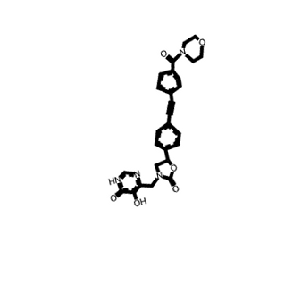 O=C1OC(c2ccc(C#Cc3ccc(C(=O)N4CCOCC4)cc3)cc2)CN1Cc1nc[nH]c(=O)c1O